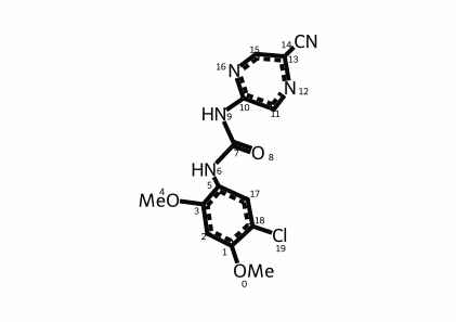 COc1cc(OC)c(NC(=O)Nc2cnc(C#N)cn2)cc1Cl